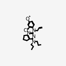 C=CCN(c1nc2c(c(N(CCC)CCC)n1)CCC2)c1ccc(OC)cc1Cl